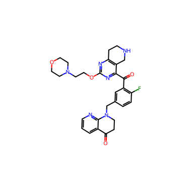 O=C1CCN(Cc2ccc(F)c(C(=O)c3nc(OCCN4CCOCC4)nc4c3CNCC4)c2)c2ncccc21